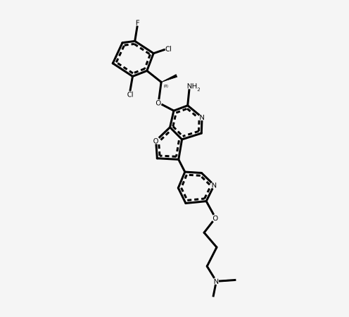 C[C@@H](Oc1c(N)ncc2c(-c3ccc(OCCCN(C)C)nc3)coc12)c1c(Cl)ccc(F)c1Cl